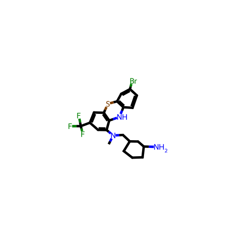 CN(CC1CCCC(N)C1)c1cc(C(F)(F)F)cc2c1Nc1ccc(Br)cc1S2